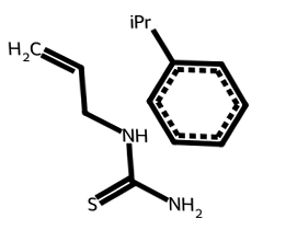 C=CCNC(N)=S.CC(C)c1ccccc1